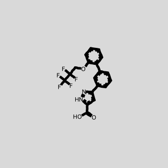 O=C(O)c1cc(-c2cccc(-c3ccccc3OCC(F)(F)C(F)(F)F)c2)n[nH]1